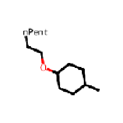 CCCCCCCOC1CCC(C)CC1